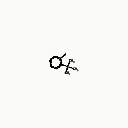 C[Si](C)(C)c1ccccc1I